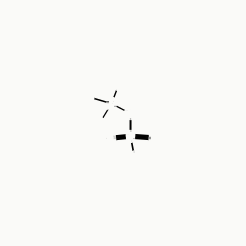 CS(=O)(=O)O[B-](F)(F)F